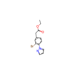 CCOC(=O)Cc1ccc(-n2cccn2)c(Br)c1